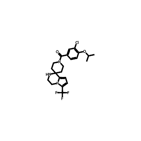 CC(C)Oc1ccc(C(=O)N2CCC3(CC2)NCCn2c(C(F)(F)F)ccc23)cc1Cl